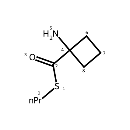 CCCSC(=O)C1(N)CCC1